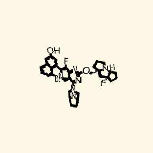 Oc1cc(-c2ncc3c(N4CC5CCC(C4)N5)nc(OC[C@]45CCCN4[C@H]4CCC[C@@]4(F)C5)nc3c2F)c2c(Br)cccc2c1